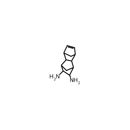 NC1C(N)C2CC1C1C3C=CC(C3)C21